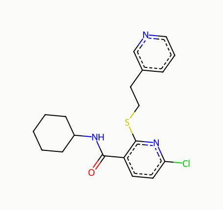 O=C(NC1CCCCC1)c1ccc(Cl)nc1SCCc1cccnc1